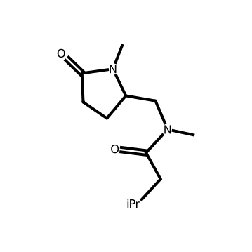 CC(C)CC(=O)N(C)CC1CCC(=O)N1C